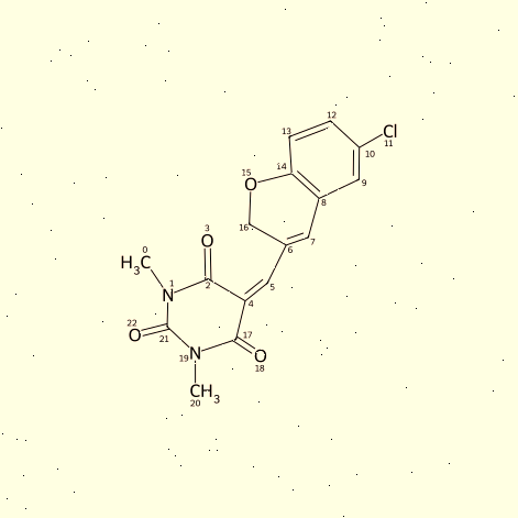 CN1C(=O)C(=CC2=Cc3cc(Cl)ccc3OC2)C(=O)N(C)C1=O